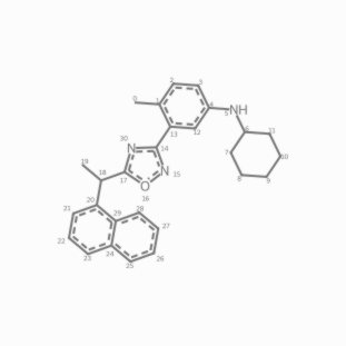 Cc1ccc(NC2CCCCC2)cc1-c1noc(C(C)c2cccc3ccccc23)n1